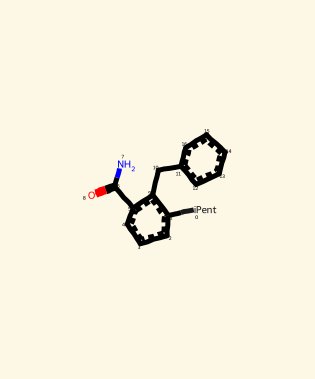 CCCC(C)c1cccc(C(N)=O)c1Cc1ccccc1